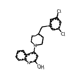 Oc1cc(N2CCC(Cc3cc(Cl)cc(Cl)c3)CC2)c2ccccc2n1